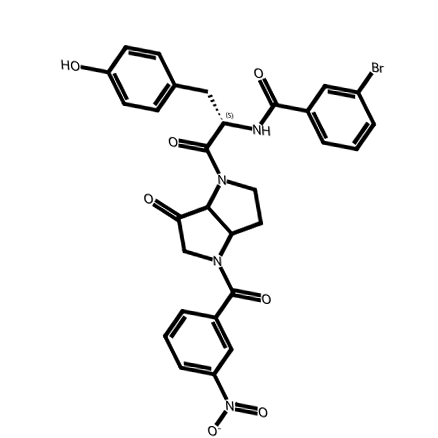 O=C(N[C@@H](Cc1ccc(O)cc1)C(=O)N1CCC2C1C(=O)CN2C(=O)c1cccc([N+](=O)[O-])c1)c1cccc(Br)c1